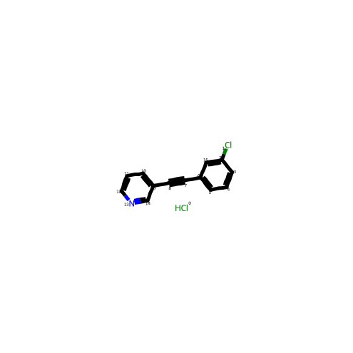 Cl.Clc1cccc(C#Cc2cccnc2)c1